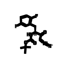 CC(C)(C)OC(=O)N[C@@H](Cc1cc(F)ccc1F)C(=O)C=[N+]=[N-]